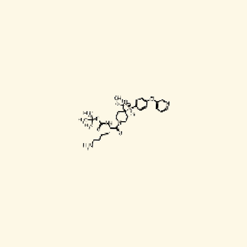 COC(=O)C1(S(=O)(=O)c2ccc(Oc3cccnc3)cc2)CCN(C(=O)[C@H](CCCCN)NC(=O)OC(C)(C)C)CC1